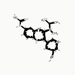 CC(C)N(C)c1nc2cc(OC(=O)O)ccc2nc1-c1cncc(Br)c1